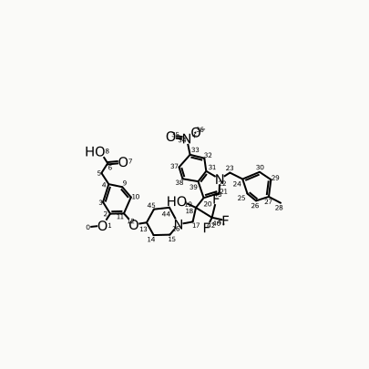 COc1cc(CC(=O)O)ccc1OC1CCN(CC(O)(c2cn(Cc3ccc(C)cc3)c3cc([N+](=O)[O-])ccc23)C(F)(F)F)CC1